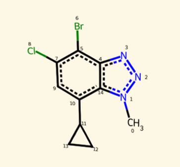 Cn1nnc2c(Br)c(Cl)cc(C3CC3)c21